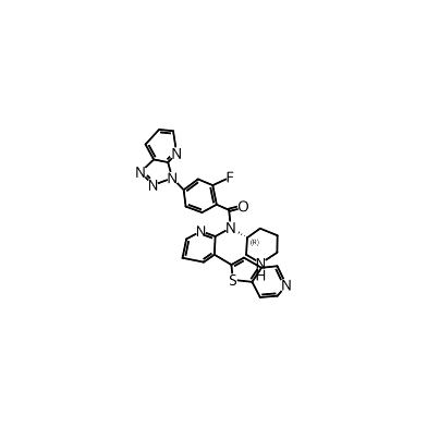 O=C(c1ccc(-n2nnc3cccnc32)cc1F)N(c1ncccc1-c1cc2cnccc2s1)[C@@H]1CCCNC1